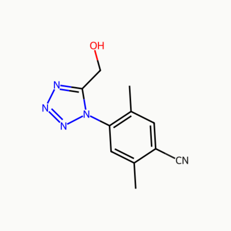 Cc1cc(-n2nnnc2CO)c(C)cc1C#N